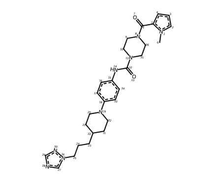 Cn1cccc1C(=O)N1CCN(C(=O)Nc2ccc(N3CCC(CCCn4cncn4)CC3)cc2)CC1